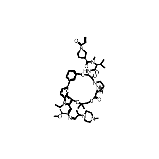 C=CC(=O)N1CC[C@H](C(=O)N(C)[C@H](C(=O)N[C@H]2Cc3cccc(c3)-c3ccc4c(c3)c(c(/C=C(/N=C\C(C)N3CCN(C)CC3)[C@H](C)OC)n4CC)CC(C)(C)COC(=O)[C@@H]3CCCN(N3)C2=O)C(C)C)C1